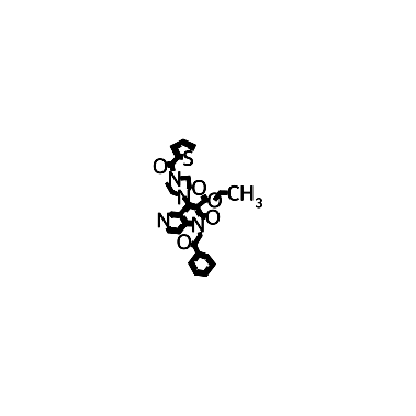 CCOC(=O)c1c(N2CCN(C(=O)c3cccs3)CC2)c2cnccc2n(CC(=O)c2ccccc2)c1=O